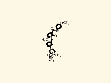 Cc1ccc(C(=O)Nc2ccc(OC(F)(F)F)cc2)c(=O)n1Cc1cccc(N2CC[N+](C)(OC(=O)C(F)(F)F)CC2)c1